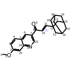 COc1ccc2cc(C(=O)/C=C/C34CC5CC(CC(C5)C3)C4)cnc2c1